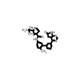 Cc1ccc(NC(=O)c2ccnc(C(C)(C)C#N)c2)cc1-c1cccc(-c2ncnc3c2CC(=O)N3)c1